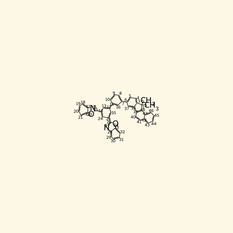 CC1(C)c2ccc(-c3cccc(-c4cc(-c5nc6ccccc6o5)cc(-c5nc6ccccc6o5)c4)c3)cc2-c2ccc3ccccc3c21